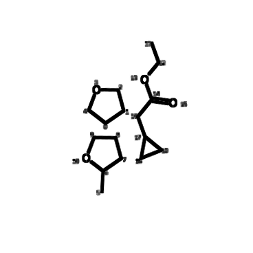 C1CCOC1.CC1CCCO1.CCOC(=O)CC1CC1